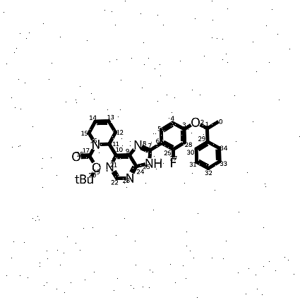 CC(Oc1ccc(-c2nc3c(C4CC=CCN4C(=O)OC(C)(C)C)ncnc3[nH]2)c(F)c1)c1ccccc1